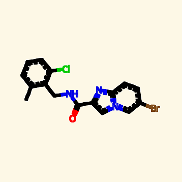 Cc1cccc(Cl)c1CNC(=O)c1cn2cc(Br)ccc2n1